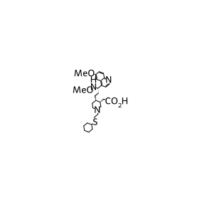 CON[C@@H](CC[C@@H]1CCN(CCSC2CCCCC2)C[C@@H]1CC(=O)O)c1ccnc2ccc(OC)cc12